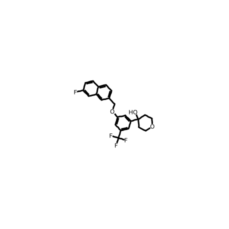 OC1(c2cc(OCc3ccc4ccc(F)cc4c3)cc(C(F)(F)F)c2)CCOCC1